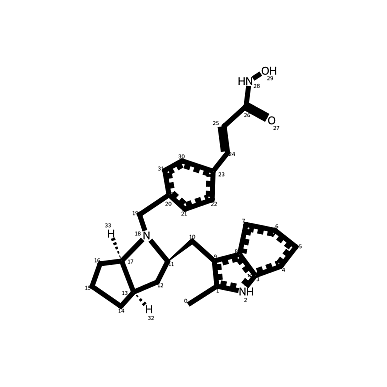 Cc1[nH]c2ccccc2c1C[C@H]1C[C@H]2CCC[C@H]2N1Cc1ccc(/C=C/C(=O)NO)cc1